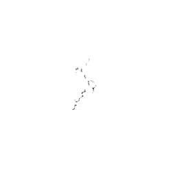 C=CCOC(=O)CCCCCC[C@H]1C(=O)CC[C@@H]1C=C[C@@H]1OC(C)(C)O[C@H]1CCCC